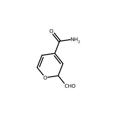 NC(=O)C1=CC(C=O)OC=C1